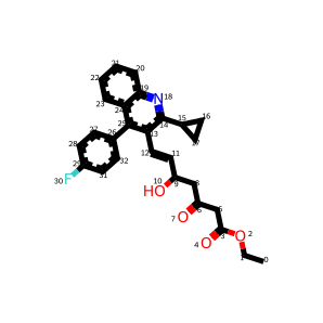 CCOC(=O)CC(=O)CC(O)/C=C/c1c(C2CC2)nc2ccccc2c1-c1ccc(F)cc1